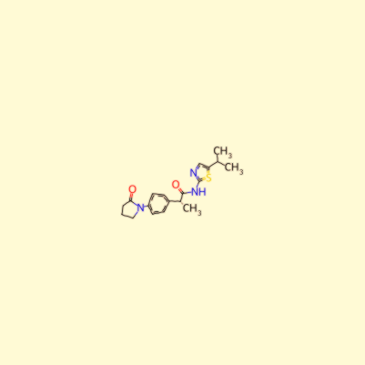 CC(C)c1cnc(NC(=O)[C@H](C)c2ccc(N3CCCC3=O)cc2)s1